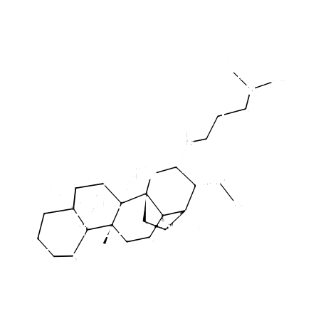 CN(C)CCCN[C@H]1O[C@]23CC[C@H]([C@H]1CC(=O)O)[C@@]2(C)CC[C@H]1[C@H]3CC[C@@H]2CCCC[C@@]21C